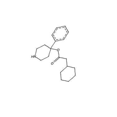 O=C(CC1CCCCC1)OC1(c2ccccc2)CCNCC1